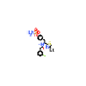 CCc1csc(C(Cc2ccc(OS(N)(=O)=O)cc2)NC(=O)Cc2cccc(F)c2)n1